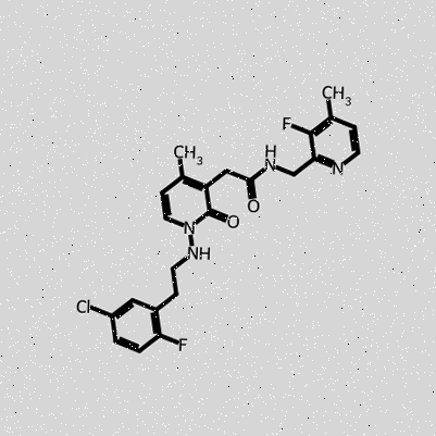 Cc1ccnc(CNC(=O)Cc2c(C)ccn(NCCc3cc(Cl)ccc3F)c2=O)c1F